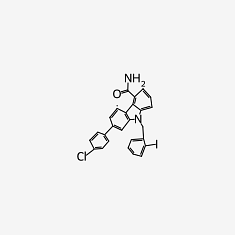 NC(=O)c1cccc2c1c1[c]cc(-c3ccc(Cl)cc3)cc1n2Cc1ccccc1I